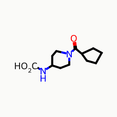 O=C(O)NC1CCN(C(=O)C2CCCC2)CC1